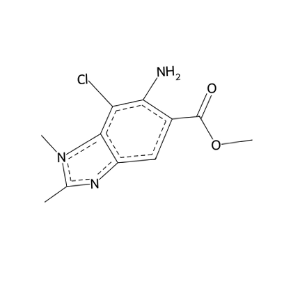 COC(=O)c1cc2nc(C)n(C)c2c(Cl)c1N